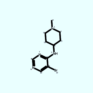 CN1CCC(Nc2ncncc2Br)CC1